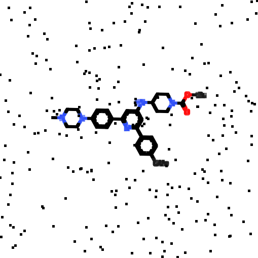 COc1ccc(-c2cc(NC3CCN(C(=O)OC(C)(C)C)CC3)cc(-c3ccc(N4CCN(C)CC4)cc3)n2)cc1